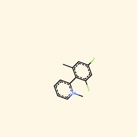 Cc1cc(F)cc(F)c1-c1cccc[n+]1C